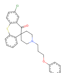 O=C1c2cc(Cl)ccc2Sc2ccccc2C12CCN(CCCOc1ccccc1)CC2